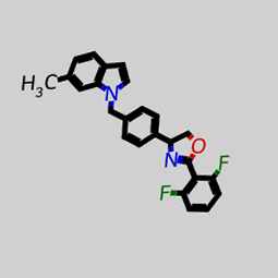 Cc1ccc2ccn(Cc3ccc(C4COC(c5c(F)cccc5F)=N4)cc3)c2c1